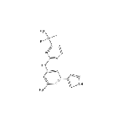 Cc1cc(Nc2nccc(C(C)(F)F)n2)cc(-c2cn[nH]c2)c1